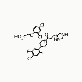 Cc1cc(Cl)c(F)cc1C1CCN(C(=O)CC[C@@H]2CNCN2)CC1.O=C(O)COc1ccc(Cl)cc1Cl